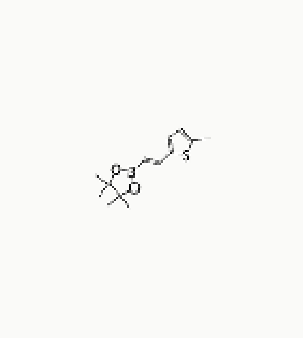 Cc1ccc(C=CB2OC(C)(C)C(C)(C)O2)s1